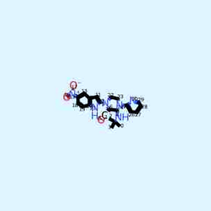 CC(C)(C)NC1C(=C=O)N(c2cc3cc([N+](=O)[O-])ccc3[nH]2)CCN1c1ccccn1